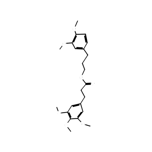 COc1ccc(CCCOC(=O)CCc2cc(OC)c(OC)c(OC)c2)cc1OC